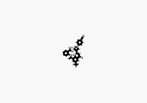 CC(Nc1ccccc1C(=O)O)c1cc(C(F)(F)F)cc2c(=O)cc(-c3cnn(-c4ccc(C#N)cc4)c3)oc12